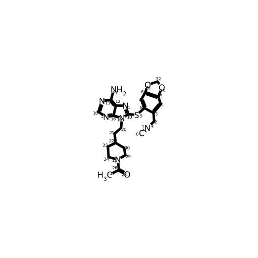 [C-]#[N+]Cc1cc2c(cc1Sc1nc3c(N)ncnc3n1CCC1CCN(C(C)=O)CC1)OCO2